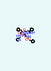 C[C@H](NC(=O)OCc1ccccc1)C(=O)N[C@@H](Cc1c[nH]c2ccccc12)C(=O)NC(Cc1ccccc1)C(=O)C(=O)NCc1ccccn1